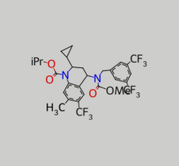 COC(=O)N(Cc1cc(C(F)(F)F)cc(C(F)(F)F)c1)C1CC(C2CC2)N(C(=O)OC(C)C)c2cc(C)c(C(F)(F)F)cc21